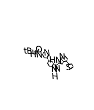 CC(C)(C)C(=O)Nc1cncc(-c2ccc3[nH]nc(-c4cc5c(-c6cccs6)ccnc5[nH]4)c3c2)c1